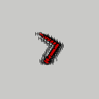 C=C(CC(=O)O)C(=O)O.C=C(CC(=O)O)C(=O)O.C=C(CC(=O)O)C(=O)O.C=C(CC(=O)O)C(=O)O.C=C(CC(=O)O)C(=O)O.C=C(CC(=O)O)C(=O)O.C=C(CC(=O)O)C(=O)O.C=C(CC(=O)O)C(=O)O.C=C(CC(=O)O)C(=O)O.C=C(CC(=O)O)C(=O)O.CC(O)CCO.CC(O)CO.O=C(O)CS.O=C(O)CS.OCCCCO.OCCCCO.OCCO.OC[C@@H](O)[C@@H](O)[C@H](O)[C@@H](O)CO